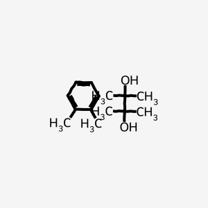 CC(C)(O)C(C)(C)O.Cc1ccccc1C